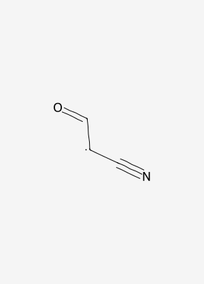 N#C[CH]C=O